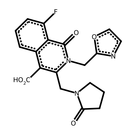 O=C(O)c1c(CN2CCCC2=O)n(Cc2ncco2)c(=O)c2c(F)cccc12